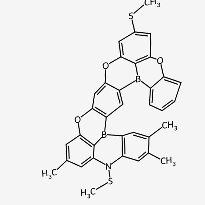 CSc1cc2c3c(c1)Oc1cc4c(cc1B3c1ccccc1O2)B1c2cc(C)c(C)cc2N(SC)c2cc(C)cc(c21)O4